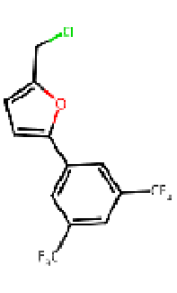 FC(F)(F)c1cc(-c2ccc(CCl)o2)cc(C(F)(F)F)c1